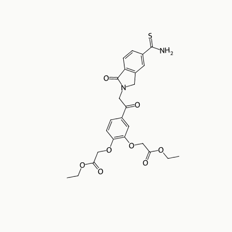 CCOC(=O)COc1ccc(C(=O)CN2Cc3cc(C(N)=S)ccc3C2=O)cc1OCC(=O)OCC